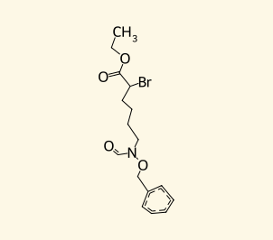 CCOC(=O)C(Br)CCCCN(C=O)OCc1ccccc1